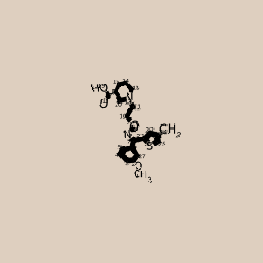 COc1cccc(C(=NOCCN2CCC[C@@H](C(=O)O)C2)c2cc(C)cs2)c1